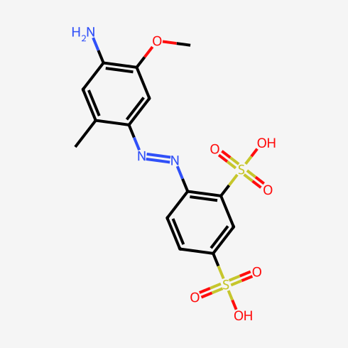 COc1cc(N=Nc2ccc(S(=O)(=O)O)cc2S(=O)(=O)O)c(C)cc1N